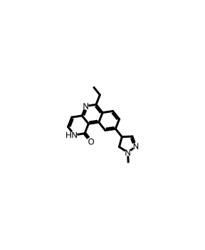 CCc1nc2cc[nH]c(=O)c2c2cc(C3C=NN(C)C3)ccc12